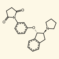 O=C1CCC(=O)N1c1cccc(O[C@H]2c3ccccc3C[C@@H]2N2CCCC2)c1